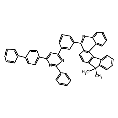 CC1(C)c2ccccc2-c2c1ccc1c(-c3cccc(-c4cc(-c5ccc(-c6ccccc6)cc5)nc(-c5ccccc5)n4)c3)nc3ccccc3c21